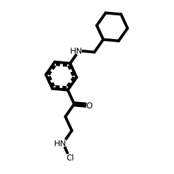 O=C(CCNCl)c1cccc(NCC2CCCCC2)c1